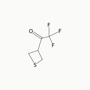 O=C(C1CSC1)C(F)(F)F